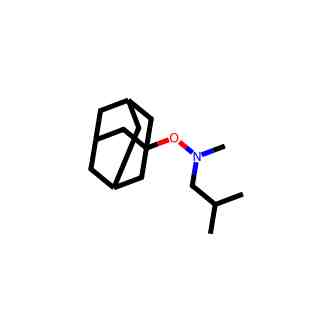 CC(C)CN(C)OC12CC3CC(CC(C3)C1)C2